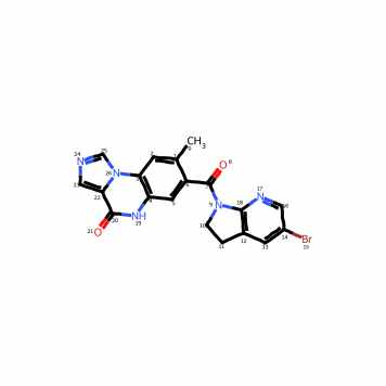 Cc1cc2c(cc1C(=O)N1CCc3cc(Br)cnc31)[nH]c(=O)c1cncn12